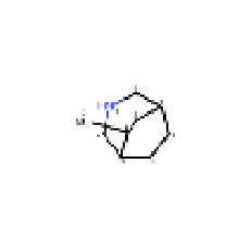 N#CC1CC2CCC1CNC2